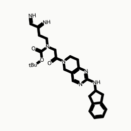 CC(C)(C)OC(=O)N(CCC(=N)C=N)CC(=O)N1CCc2nc(NC3Cc4ccccc4C3)ncc2C1